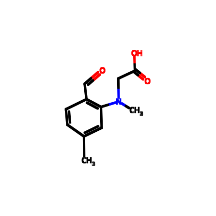 Cc1ccc(C=O)c(N(C)CC(=O)O)c1